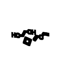 C1CCC1.C=COC=C.OCCO